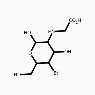 CCC1C(CO)OC(O)C(NCC(=O)O)C1O